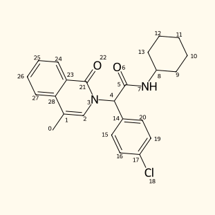 Cc1cn(C(C(=O)NC2CCCCC2)c2ccc(Cl)cc2)c(=O)c2ccccc12